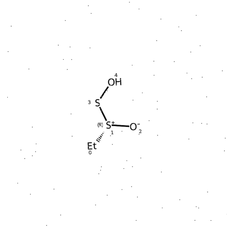 CC[S@@+]([O-])SO